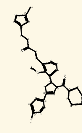 COc1c(CCC(=O)CCC2=CCC(C)=C2)cccc1C1CC(c2ccc(F)cc2)=CC1C(=O)C1CCCCC1